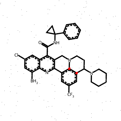 Bc1cc(Cl)cc2c(C(=O)NC3(c4ccccc4)CC3)c(CN3CCC(N4CCCCC4)CC3)c(-c3cccc(C(F)(F)F)c3)nc12